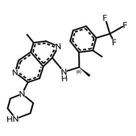 Cc1c([C@@H](C)Nc2ncc(C)c3cnc(N4CCNCC4)cc23)cccc1C(F)(F)F